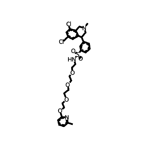 Cc1cccc(OCCOCCOCCOCCNS(=O)(=O)c2cccc(C3CN(C)Cc4c(Cl)cc(Cl)cc43)c2)n1